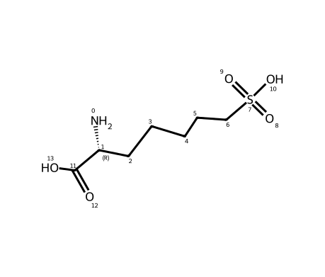 N[C@H](CCCCCS(=O)(=O)O)C(=O)O